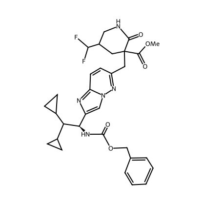 COC(=O)C1(Cc2ccc3nc([C@@H](NC(=O)OCc4ccccc4)C(C4CC4)C4CC4)cn3n2)CC(C(F)F)CNC1=O